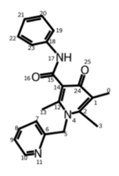 Cc1c(C)n(Cc2ccccn2)c(C)c(C(=O)Nc2ccccc2)c1=O